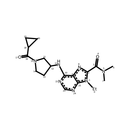 CCn1c(C(=O)N(C)C)nc2c(NC3CCN(C(=O)C4CC4)C3)ncnc21